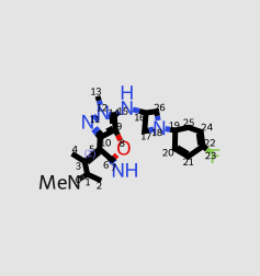 CNC(C)/C(C)=C1\C(=N)Oc2c1nn(C)c2NC1CN(C2C=CC(F)=CC2)C1